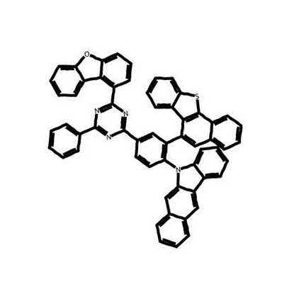 c1ccc(-c2nc(-c3ccc(-n4c5ccccc5c5cc6ccccc6cc54)c(-c4cc5ccccc5c5sc6ccccc6c45)c3)nc(-c3cccc4oc5ccccc5c34)n2)cc1